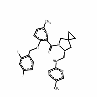 Cc1ccc(OCc2ccc(F)cc2F)c(C(=O)N2CC3(CC3)C[C@H]2CNc2ccc(C(F)(F)F)cn2)n1